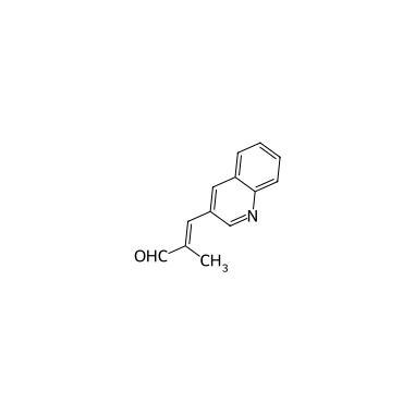 C/C(C=O)=C\c1cnc2ccccc2c1